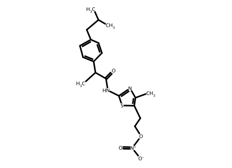 Cc1nc(NC(=O)C(C)c2ccc(CC(C)C)cc2)sc1CCO[N+](=O)[O-]